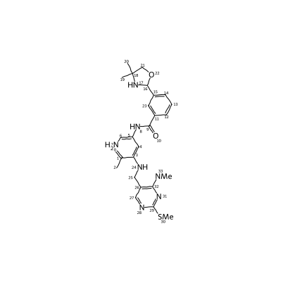 C=C(C)/C(=C\C(=C/N)NC(=O)c1cccc(C2NC(C)(C)CO2)c1)NCc1cnc(SC)nc1NC